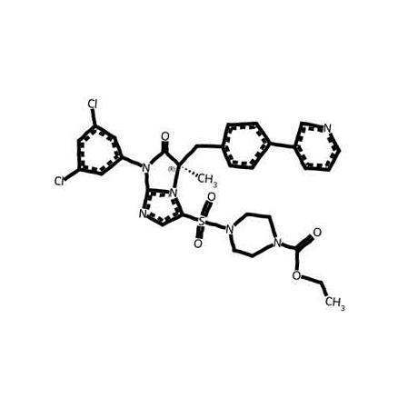 CCOC(=O)N1CCN(S(=O)(=O)c2cnc3n2[C@](C)(Cc2ccc(-c4cccnc4)cc2)C(=O)N3c2cc(Cl)cc(Cl)c2)CC1